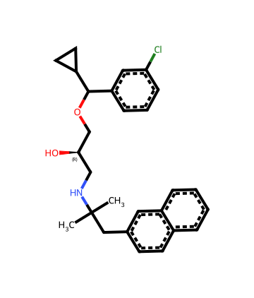 CC(C)(Cc1ccc2ccccc2c1)NC[C@@H](O)COC(c1cccc(Cl)c1)C1CC1